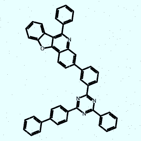 c1ccc(-c2ccc(-c3nc(-c4ccccc4)nc(-c4cccc(-c5ccc6c(c5)nc(-c5ccccc5)c5c7ccccc7oc65)c4)n3)cc2)cc1